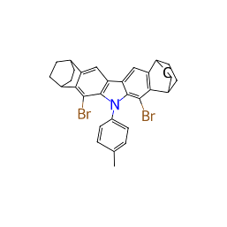 Cc1ccc(-n2c3c(Br)c4c(cc3c3cc5c(c(Br)c32)C2CCC5CC2)C2CCC4CC2)cc1